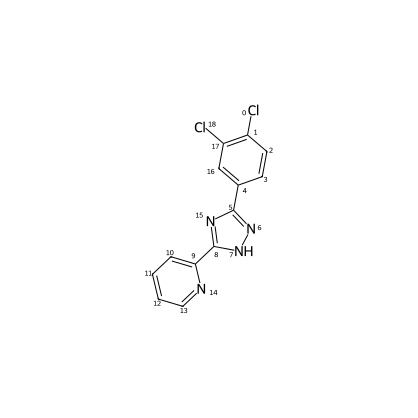 Clc1ccc(-c2n[nH]c(-c3ccccn3)n2)cc1Cl